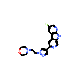 Fc1cnc2[nH]c3cnc(-c4cnn(CCN5CCOCC5)c4)cc3c2c1